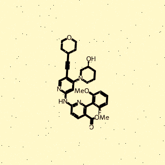 COC(=O)c1ccc(Nc2cc(N3CCC[C@H](O)C3)c(C#CC3CCOCC3)cn2)nc1-c1c(F)cccc1OC